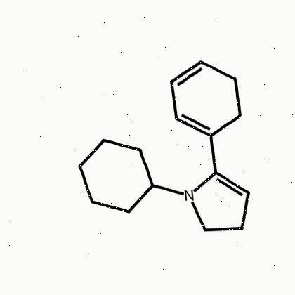 C1=CCCC(C2=CCCN2C2CCCCC2)=C1